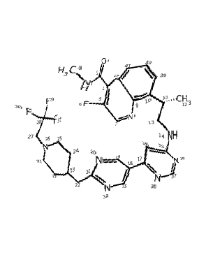 CNC(=O)c1c(F)cnc2c([C@H](C)CNc3cc(-c4cnc(CC5CCN(CC(F)(F)F)CC5)nc4)ncn3)cccc12